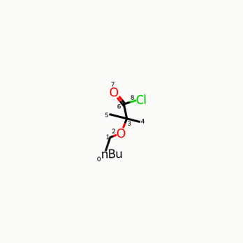 CCCCCOC(C)(C)C(=O)Cl